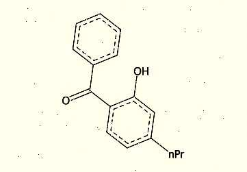 CCCc1ccc(C(=O)c2ccccc2)c(O)c1